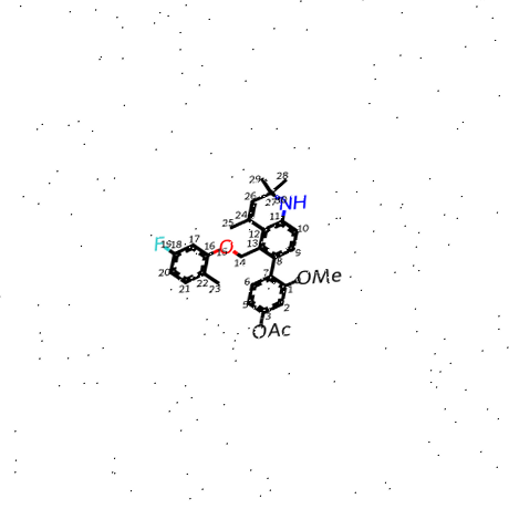 COc1cc(OC(C)=O)ccc1-c1ccc2c(c1COc1cc(F)ccc1C)C(C)=CC(C)(C)N2